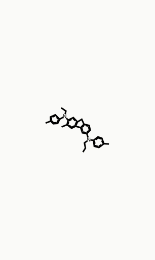 CCCN(c1ccc(C)cc1)c1ccc2c(c1)-c1cc(C)c(N(CC)c3ccc(C)cc3)cc1C2